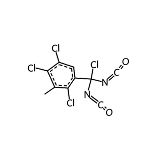 Cc1c(Cl)c(Cl)cc(C(Cl)(N=C=O)N=C=O)c1Cl